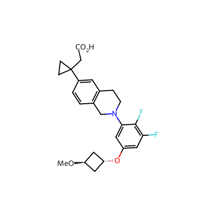 CO[C@H]1C[C@H](Oc2cc(F)c(F)c(N3CCc4cc(C5(CC(=O)O)CC5)ccc4C3)c2)C1